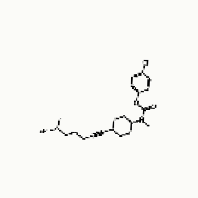 CCCN(C)CCCC#CC1CCC(N(C)C(=O)Oc2ccc(Cl)cc2)CC1